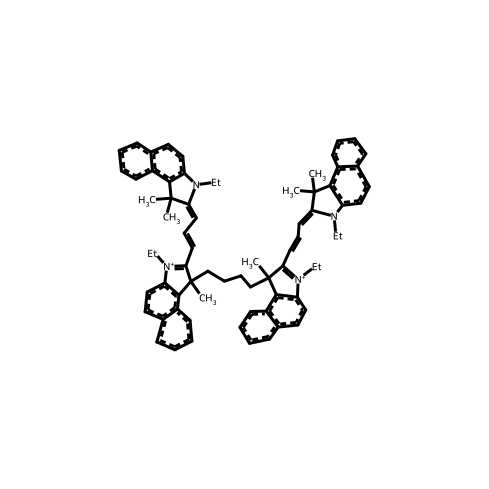 CCN1C(=CC=CC2=[N+](CC)c3ccc4ccccc4c3C2(C)CCCCC2(C)C(C=CC=C3N(CC)c4ccc5ccccc5c4C3(C)C)=[N+](CC)c3ccc4ccccc4c32)C(C)(C)c2c1ccc1ccccc21